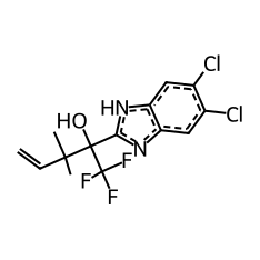 C=CC(C)(C)C(O)(c1nc2cc(Cl)c(Cl)cc2[nH]1)C(F)(F)F